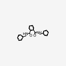 O=C(NCc1ccccc1)c1ccccc1C(=O)NCc1ccccc1